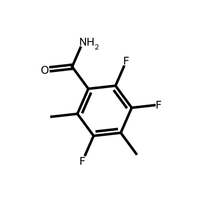 Cc1c(F)c(C)c(C(N)=O)c(F)c1F